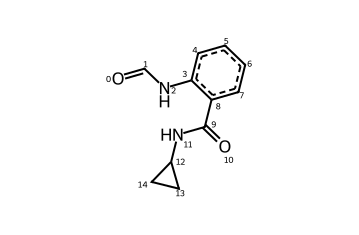 O=CNc1ccccc1C(=O)NC1CC1